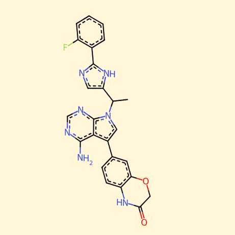 CC(c1cnc(-c2ccccc2F)[nH]1)n1cc(-c2ccc3c(c2)OCC(=O)N3)c2c(N)ncnc21